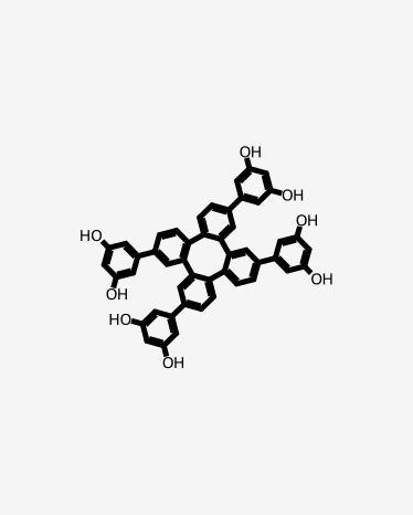 Oc1cc(O)cc(-c2ccc3c(c2)-c2cc(-c4cc(O)cc(O)c4)ccc2-c2ccc(-c4cc(O)cc(O)c4)cc2-c2cc(-c4cc(O)cc(O)c4)ccc2-3)c1